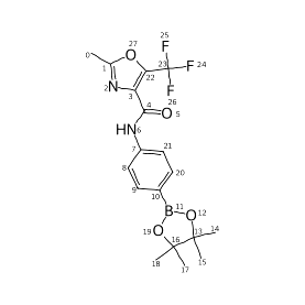 Cc1nc(C(=O)Nc2ccc(B3OC(C)(C)C(C)(C)O3)cc2)c(C(F)(F)F)o1